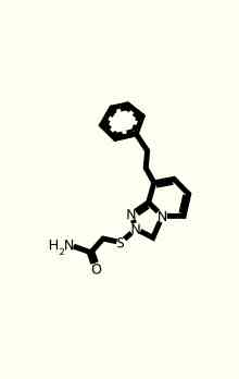 NC(=O)CSN1CN2C=CC=C(CCc3ccccc3)C2=N1